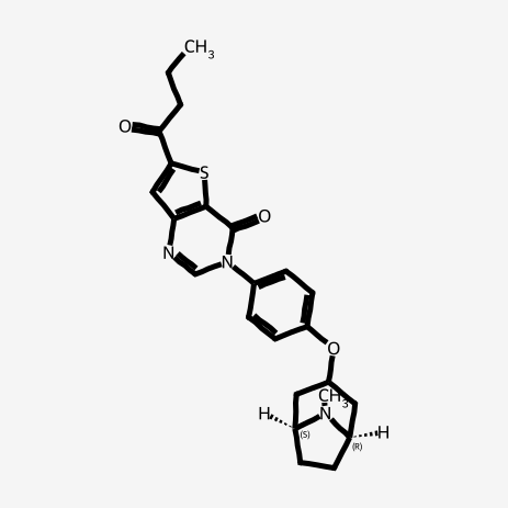 CCCC(=O)c1cc2ncn(-c3ccc(OC4C[C@H]5CC[C@@H](C4)N5C)cc3)c(=O)c2s1